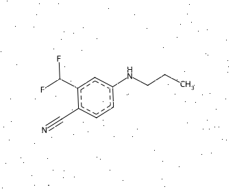 CCCNc1ccc(C#N)c(C(F)F)c1